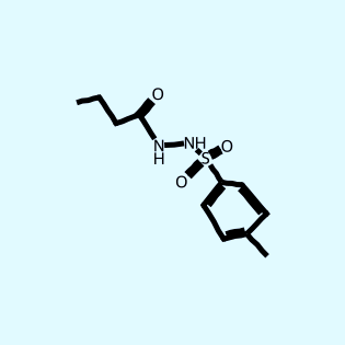 CCCC(=O)NNS(=O)(=O)c1ccc(C)cc1